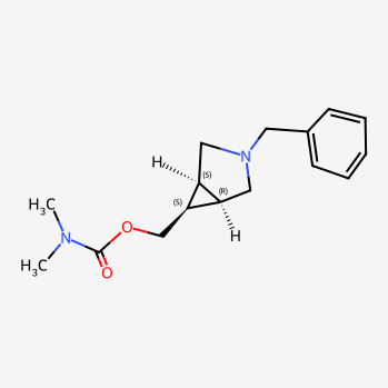 CN(C)C(=O)OC[C@H]1[C@H]2CN(Cc3ccccc3)C[C@@H]12